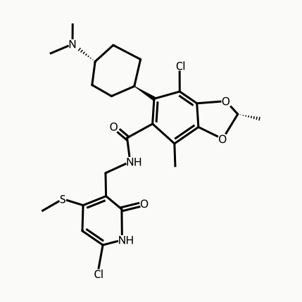 CSc1cc(Cl)[nH]c(=O)c1CNC(=O)c1c(C)c2c(c(Cl)c1[C@H]1CC[C@H](N(C)C)CC1)O[C@H](C)O2